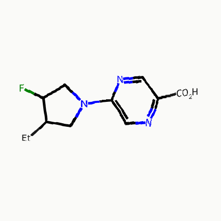 CCC1CN(c2cnc(C(=O)O)cn2)CC1F